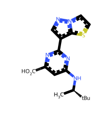 C[C@@H](Nc1cc(C(=O)O)nc(-c2cnn3ccsc23)n1)C(C)(C)C